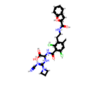 Cc1cc(Cl)c(C(=O)NC(N/C(=N/C#N)N2CCC2)C(=O)O)c(Cl)c1CCNC(=O)c1cc2ccccc2o1